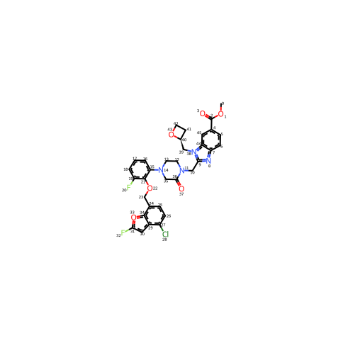 COC(=O)c1ccc2nc(CN3CCN(c4cccc(F)c4OCc4ccc(Cl)c5cc(F)oc45)CC3=O)n(C[C@@H]3CCO3)c2c1